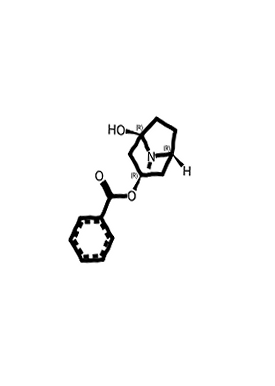 CN1[C@@H]2CC[C@@]1(O)C[C@H](OC(=O)c1ccccc1)C2